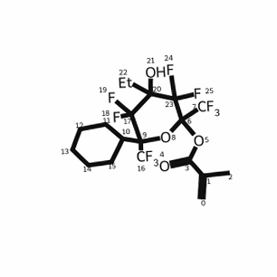 C=C(C)C(=O)OC1(C(F)(F)F)OC(C2CCCCC2)(C(F)(F)F)C(F)(F)C(O)(CC)C1(F)F